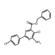 Nc1nc(-c2ccc(Cl)cc2)nc(C(=O)OCc2ccccc2)c1Cl